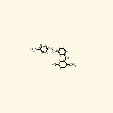 C=C1C=CC(=O)C=C1Oc1cccc(OCc2ccc(N)cc2)c1